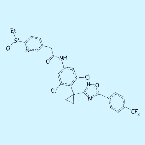 CC[S+]([O-])c1ccc(CC(=O)Nc2cc(Cl)c(C3(c4noc(-c5ccc(C(F)(F)F)cc5)n4)CC3)c(Cl)c2)cn1